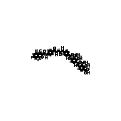 CO/C(C(=O)Nc1ccc(C(=O)NCC(=O)Nc2ccc(C(=O)Nc3ccc(C(=O)Nc4ccc(C(=O)O)c(O)c4OC)c(O)c3OC)cc2)cc1)=C(/C)c1ccc(F)cc1